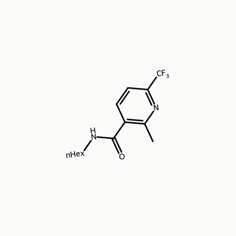 CCCCCCNC(=O)c1ccc(C(F)(F)F)nc1C